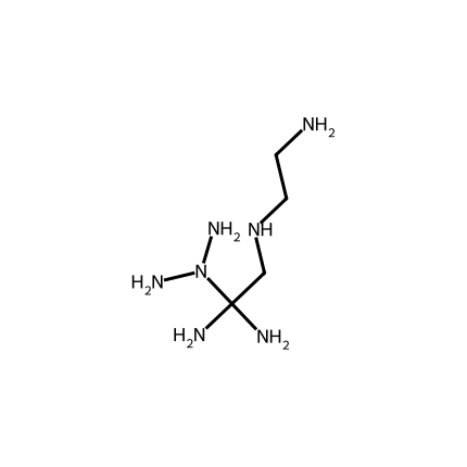 NCCNCC(N)(N)N(N)N